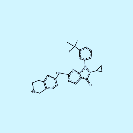 CC(F)(F)c1cccc(-n2c3nc(Nc4ccc5c(c4)CCNC5)ncc3c(=O)n2C2CC2)n1